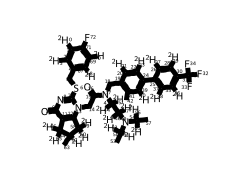 [2H]c1c([2H])c(CSc2nc(=O)c3c(n2CC(=O)N(Cc2c([2H])c([2H])c(-c4c([2H])c([2H])c(C(F)(F)F)c([2H])c4[2H])c([2H])c2C)C([2H])([2H])C([2H])([2H])N(C([2H])([2H])C)C([2H])([2H])C)C([2H])([2H])C([2H])(C)C3([2H])[2H])c([2H])c([2H])c1F